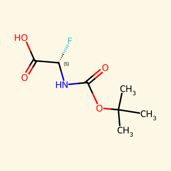 CC(C)(C)OC(=O)N[C@@H](F)C(=O)O